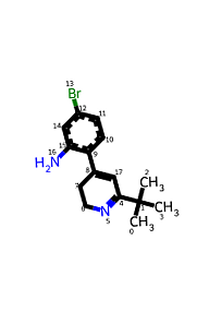 CC(C)(C)C1=NCCC(c2ccc(Br)cc2N)=C1